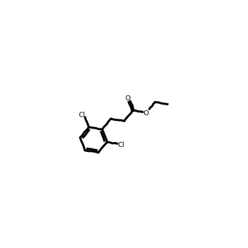 CCOC(=O)CCc1c(Cl)cccc1Cl